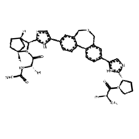 COC(=O)N[C@H](C(=O)N1[C@@H]2CC[C@@H](C2)[C@H]1c1ncc(-c2ccc3c(c2)COCc2cc(-c4cnc([C@@H]5CCCN5C(=O)[C@@H](C)C(C)C)[nH]4)ccc2-3)[nH]1)C(C)C